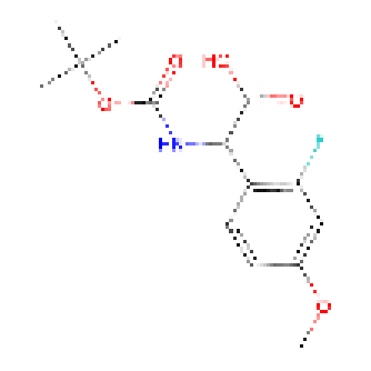 COc1ccc(C(NC(=O)OC(C)(C)C)C(=O)O)c(F)c1